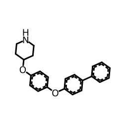 c1ccc(-c2ccc(Oc3ccc(OC4CCNCC4)cc3)cc2)cc1